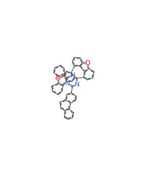 c1ccc(-c2nc(-c3ccc4c(ccc5ccccc54)c3)nc(-c3cccc4oc5cccc(-c6ccc7c(c6)oc6ccccc67)c5c34)n2)cc1